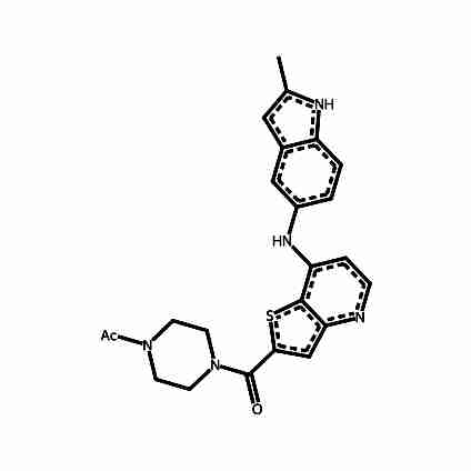 CC(=O)N1CCN(C(=O)c2cc3nccc(Nc4ccc5[nH]c(C)cc5c4)c3s2)CC1